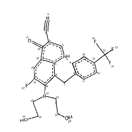 N#Cc1c[nH]c2c(Cc3ccc(C(F)(F)F)cc3)c(N(CCO)CCO)c(F)cc2c1=O